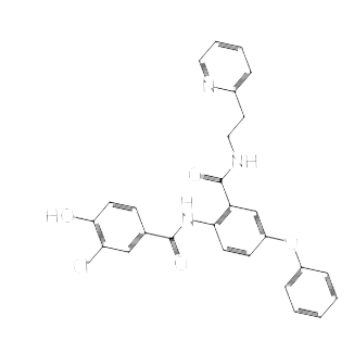 O=C(Nc1ccc(Oc2ccccc2)cc1C(=O)NCCc1ccccn1)c1ccc(O)c(Cl)c1